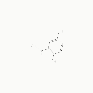 CCCCNc1cc(O)ccc1O